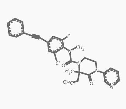 CN(C(=O)N1CCN(c2cccnc2)C(=O)C1(C)CC=O)c1c(F)cc(C#Cc2ccccc2)cc1Cl